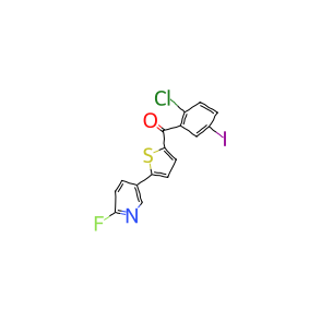 O=C(c1ccc(-c2ccc(F)nc2)s1)c1cc(I)ccc1Cl